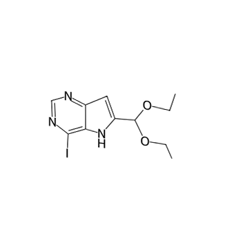 CCOC(OCC)c1cc2ncnc(I)c2[nH]1